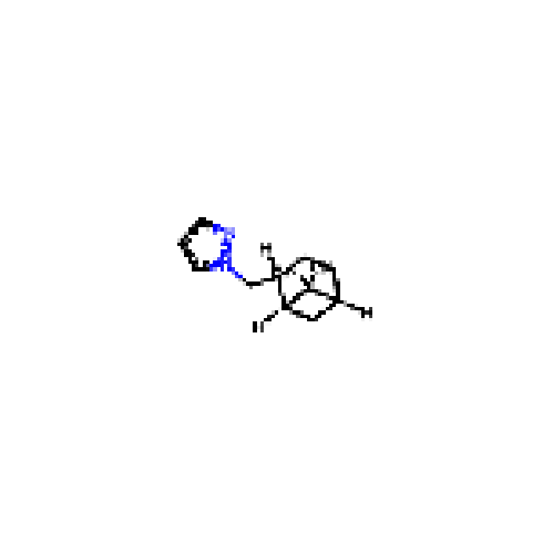 CC1(C)[C@@H]2CC[C@@H](Cn3cccn3)[C@H]1C2